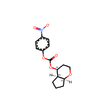 O=C(Oc1ccc([N+](=O)[O-])cc1)O[C@H]1CCO[C@H]2CCC[C@H]21